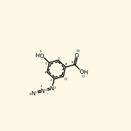 [N-]=[N+]=Nc1cc(O)cc(C(=O)O)c1